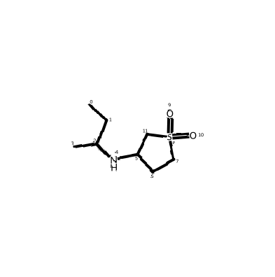 CCC(C)NC1CCS(=O)(=O)C1